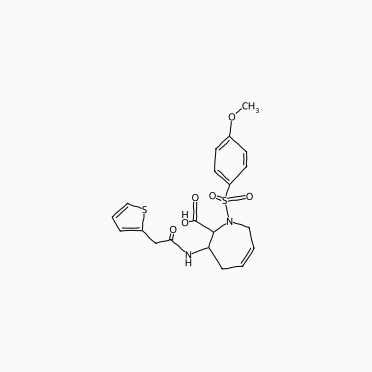 COc1ccc(S(=O)(=O)N2CC=CCC(NC(=O)Cc3cccs3)C2C(=O)O)cc1